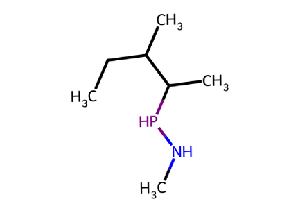 CCC(C)C(C)PNC